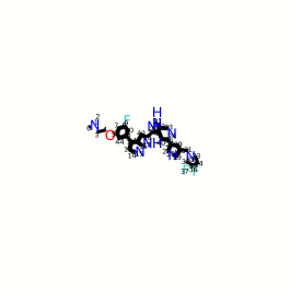 CN(C)CCOc1cc(F)cc(-c2ccnc3[nH]c(-c4n[nH]c5cnc(-c6cncc(CN7CCC(F)(F)C7)c6)cc45)cc23)c1